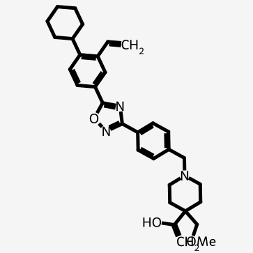 C=Cc1cc(-c2nc(-c3ccc(CN4CCC(COC)(C(=C)O)CC4)cc3)no2)ccc1C1CCCCC1